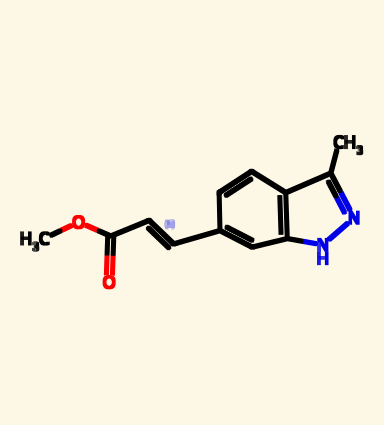 COC(=O)/C=C/c1ccc2c(C)n[nH]c2c1